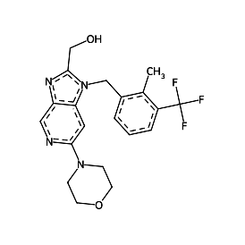 Cc1c(Cn2c(CO)nc3cnc(N4CCOCC4)cc32)cccc1C(F)(F)F